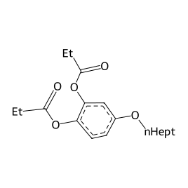 CCCCCCCOc1ccc(OC(=O)CC)c(OC(=O)CC)c1